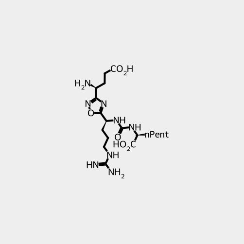 CCCCC[C@H](NC(=O)N[C@@H](CCCNC(=N)N)c1nc([C@@H](N)CCC(=O)O)no1)C(=O)O